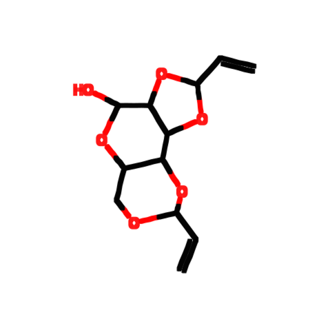 C=CC1OCC2OC(O)C3OC(C=C)OC3C2O1